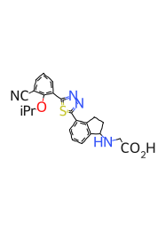 CC(C)Oc1c(C#N)cccc1-c1nnc(-c2cccc3c2CCC3NCC(=O)O)s1